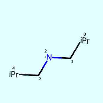 CC(C)C[N]CC(C)C